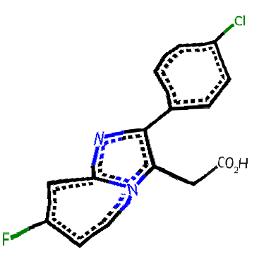 O=C(O)Cc1c(-c2ccc(Cl)cc2)nc2cc(F)ccn12